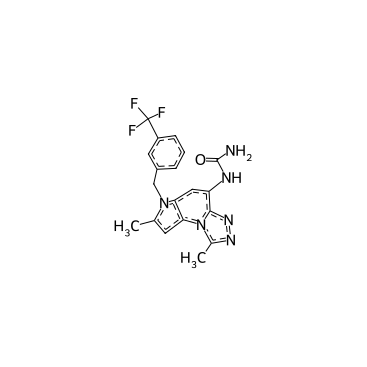 Cc1cc2c(cc(NC(N)=O)c3nnc(C)n32)n1Cc1cccc(C(F)(F)F)c1